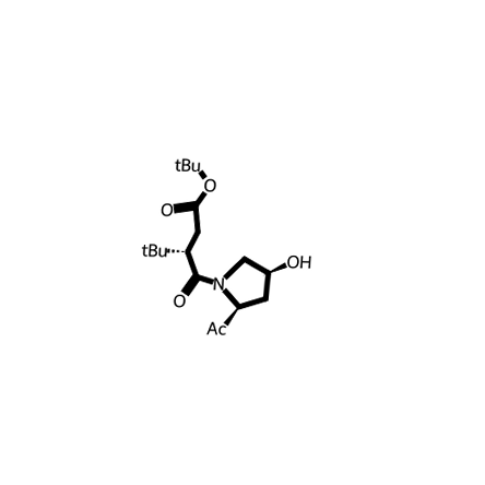 CC(=O)[C@@H]1C[C@H](O)CN1C(=O)[C@@H](CC(=O)OC(C)(C)C)C(C)(C)C